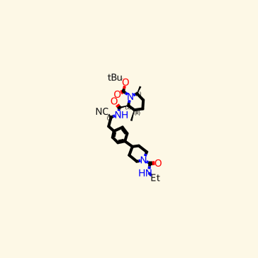 CCNC(=O)N1CCC(c2ccc(C[C@@H](C#N)NC(=O)[C@@H]3[C@H](C)CC[C@H](C)N3C(=O)OC(C)(C)C)cc2)CC1